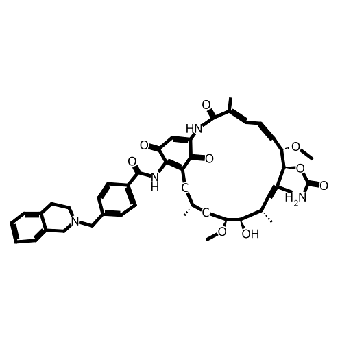 CO[C@H]1/C=C\C=C(/C)C(=O)NC2=CC(=O)C(NC(=O)c3ccc(CN4CCc5ccccc5C4)cc3)=C(C[C@@H](C)C[C@H](OC)[C@H](O)[C@@H](C)/C=C(\C)[C@@H]1OC(N)=O)C2=O